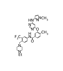 CCN1CCN(Cc2ccc(NC(=O)c3ccc(C)c(Oc4cc(Nc5ccn(C)n5)ncn4)c3)cc2C(F)(F)F)CC1